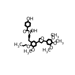 CCCOc1c(CC#CN(O)C(=O)c2ccc(O)cc2)cc(C2COC(c3cc(OC)c(OC)c(OC)c3)C2)cc1OC